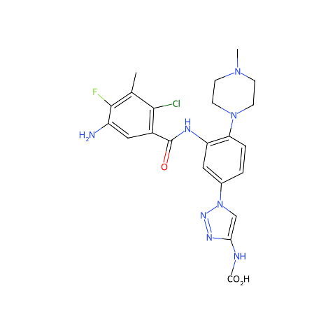 Cc1c(F)c(N)cc(C(=O)Nc2cc(-n3cc(NC(=O)O)nn3)ccc2N2CCN(C)CC2)c1Cl